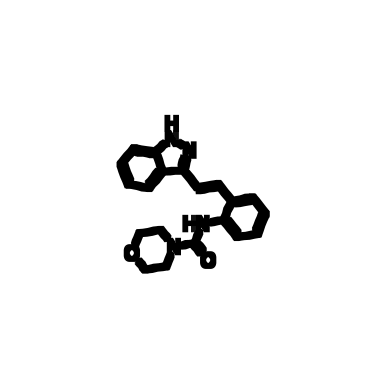 O=C(Nc1ccccc1C=Cc1n[nH]c2ccccc12)N1CCOCC1